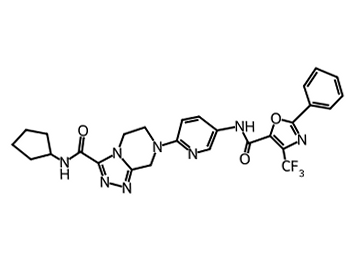 O=C(Nc1ccc(N2CCn3c(nnc3C(=O)NC3CCCC3)C2)nc1)c1oc(-c2ccccc2)nc1C(F)(F)F